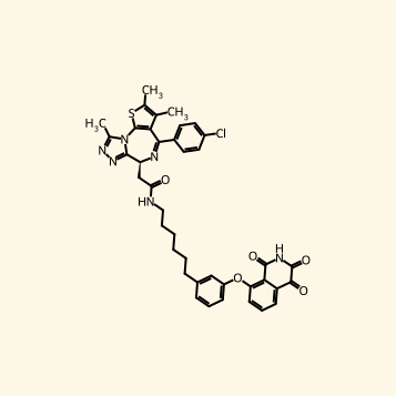 Cc1sc2c(c1C)C(c1ccc(Cl)cc1)=N[C@@H](CC(=O)NCCCCCCc1cccc(Oc3cccc4c3C(=O)NC(=O)C4=O)c1)c1nnc(C)n1-2